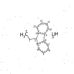 CCC1c2ccccc2-c2ccccc21.[LiH]